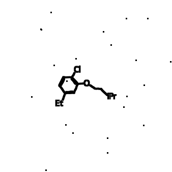 CCc1ccc(Cl)c(OCCC(C)C)c1